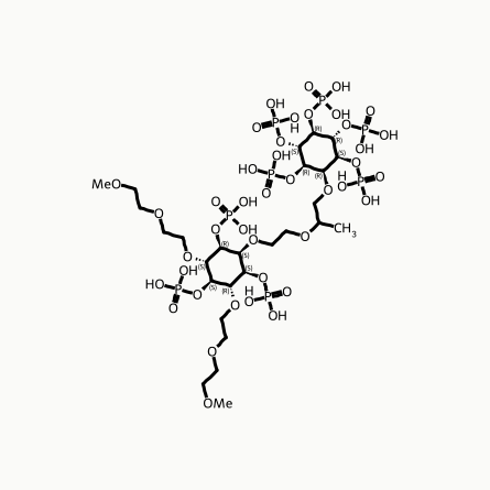 COCCOCCO[C@@H]1[C@@H](OP(=O)(O)O)[C@H](OCCOCCOC)[C@@H](OP(=O)(O)O)[C@@H](OCCOC(C)CO[C@H]2[C@@H](OP(=O)(O)O)[C@H](OP(=O)(O)O)[C@@H](OP(=O)(O)O)[C@H](OP(=O)(O)O)[C@H]2OP(=O)(O)O)[C@H]1OP(=O)(O)O